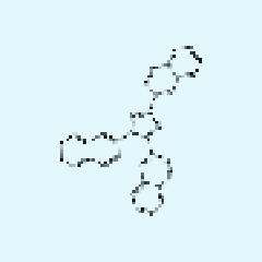 c1ccc2cc(-c3nc(-c4ccc5ccccc5c4)n(-c4ccc5ccccc5c4)n3)ccc2c1